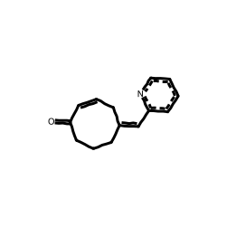 O=C1/C=C\C/C(=C\c2ccccn2)CCC1